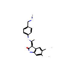 CC/C(Nc1ccc(CNC(C)C)cc1)=C1/C(=O)Nc2cc(OC)c(OC)cc21